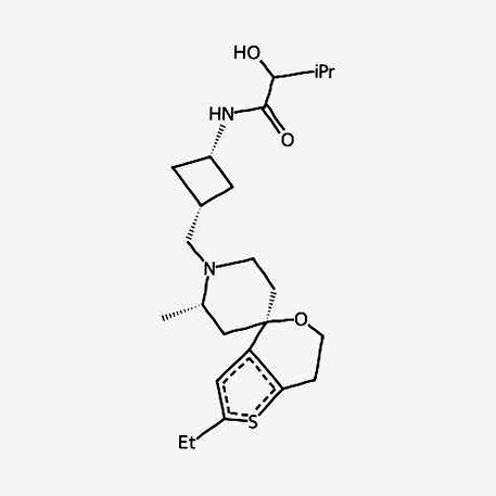 CCc1cc2c(s1)CCO[C@@]21CCN(C[C@H]2C[C@@H](NC(=O)C(O)C(C)C)C2)[C@@H](C)C1